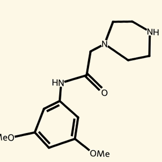 COc1cc(NC(=O)CN2CCNCC2)cc(OC)c1